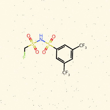 O=S(=O)(CF)NS(=O)(=O)c1cc(C(F)(F)F)cc(C(F)(F)F)c1